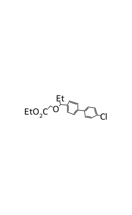 CCOC(=O)COC(CC)c1ccc(-c2ccc(Cl)cc2)cc1